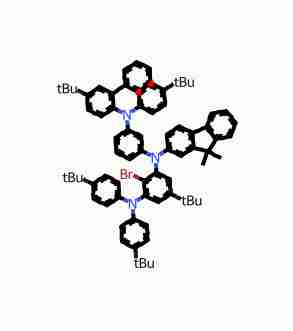 CC(C)(C)c1ccc(N(c2cccc(N(c3ccc4c(c3)C(C)(C)c3ccccc3-4)c3cc(C(C)(C)C)cc(N(c4ccc(C(C)(C)C)cc4)c4ccc(C(C)(C)C)cc4)c3Br)c2)c2ccc(C(C)(C)C)cc2-c2ccccc2)cc1